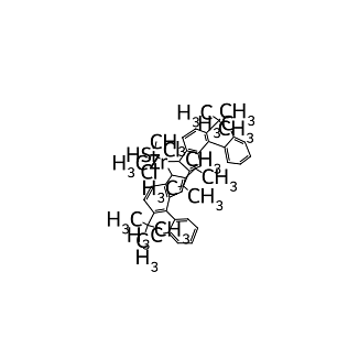 Cc1ccccc1-c1c(C(C)(C)C)ccc2c1C=C(C(C)C)[CH]2[Zr]([Cl])([Cl])([CH]1C(C(C)C)=Cc2c1ccc(C(C)(C)C)c2-c1ccccc1C)[SiH](C)C